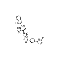 CC(C)(C)[C@H](NC(=O)c1cc2ccccc2[nH]1)C(=O)N1C[C@@H]2C[C@H]1CN2C(=O)c1ccc(-c2cccc(Cl)n2)cn1